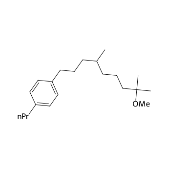 CCCc1ccc(CCCC(C)CCCC(C)(C)OC)cc1